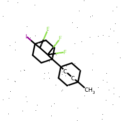 CC12CCC(C34CCC(I)(CC3)C(F)C4(F)F)(CC1)CC2